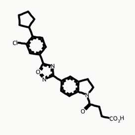 O=C(O)CCC(=O)N1CCc2cc(-c3noc(-c4ccc(C5CCCC5)c(Cl)c4)n3)ccc21